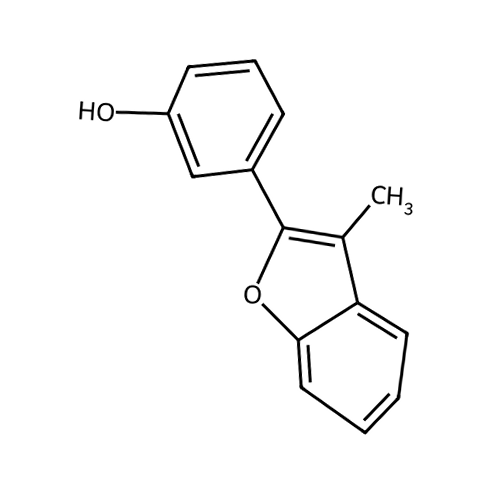 Cc1c(-c2cccc(O)c2)oc2ccccc12